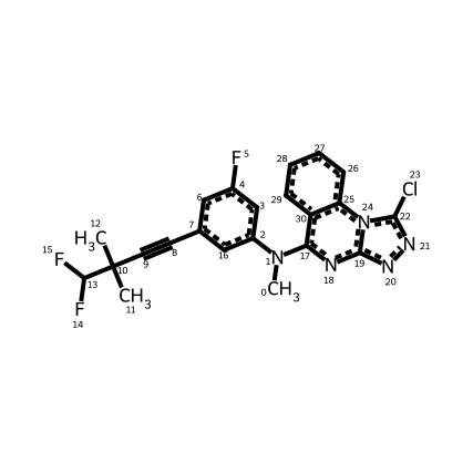 CN(c1cc(F)cc(C#CC(C)(C)C(F)F)c1)c1nc2nnc(Cl)n2c2ccccc12